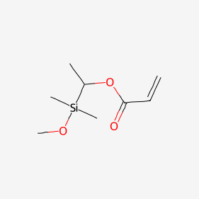 C=CC(=O)OC(C)[Si](C)(C)OC